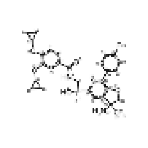 C[C@](O)(CNC(=O)c1ccc(OC2CC2)c(OC2CC2)c1)c1cc2c(c(-c3ccc(F)cc3)n1)OC[C@@]2(N)C(F)(F)F